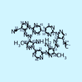 [C-]#[N+]c1cnn(-c2ncccn2)c1N=Nc1c(C)nn(-c2cc(-n3nc(C)c(N=Nc4c(C#N)cnn4-c4ncccn4)c3N)ncn2)c1N